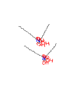 CCCCCCCCCCCCCCCC(=O)N1C[C@H](O)C[C@]1(C(=O)O)C(=O)CCCCCCCCCCCCCCC.CCCCCCCCCCCCCCCC(=O)N1C[C@H](O)C[C@]1(C(=O)O)C(=O)CCCCCCCCCCCCCCC